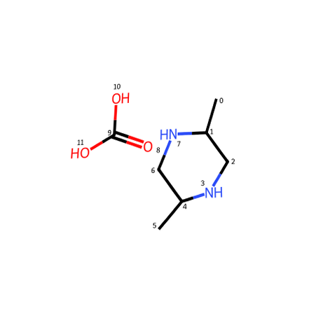 CC1CNC(C)CN1.O=C(O)O